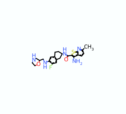 Cc1ccc2c(N)c(C(=O)N[C@H]3CCc4cc(NCC5CNCCO5)c(F)cc4C3)sc2n1